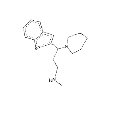 CNCCC(c1cc2ccccc2s1)N1CCCCC1